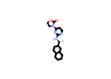 C[C@@H](Nc1nccc(N2CCOC2=O)n1)c1ccc2ccccc2c1